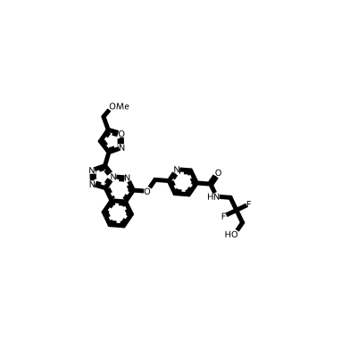 COCc1cc(-c2nnc3c4ccccc4c(OCc4ccc(C(=O)NCC(F)(F)CO)cn4)nn23)no1